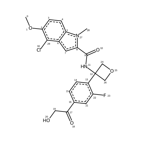 COc1ccc2c(cc(C(=O)NC3(c4ccc(C(=O)CO)cc4F)COC3)n2C)c1Cl